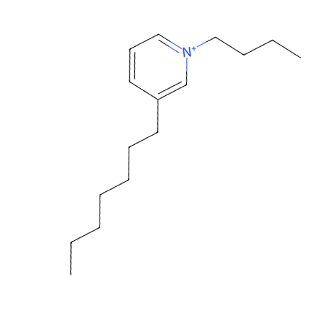 CCCCCCCc1ccc[n+](CCCC)c1